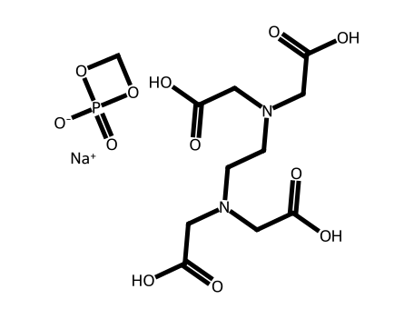 O=C(O)CN(CCN(CC(=O)O)CC(=O)O)CC(=O)O.O=P1([O-])OCO1.[Na+]